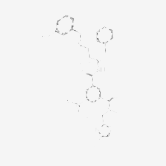 Cc1csc(CN(C)C(=O)c2cc(C(=O)N[C@@H](Cc3ccccc3)[C@H](O)CNCc3cccc(C(C)(C)C)c3)cc(N(C)C)c2)n1